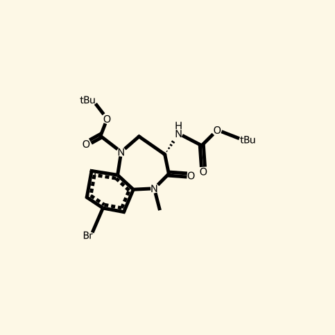 CN1C(=O)[C@@H](NC(=O)OC(C)(C)C)CN(C(=O)OC(C)(C)C)c2ccc(Br)cc21